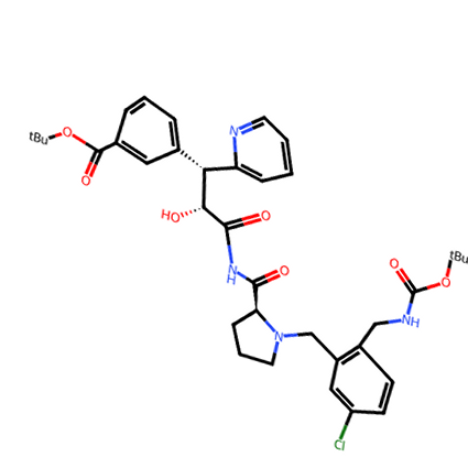 CC(C)(C)OC(=O)NCc1ccc(Cl)cc1CN1CCC[C@H]1C(=O)NC(=O)[C@H](O)[C@H](c1cccc(C(=O)OC(C)(C)C)c1)c1ccccn1